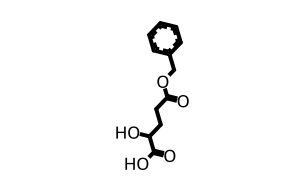 O=C(CCC(O)C(=O)O)OCc1ccccc1